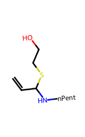 C=CC(NCCCCC)SCCO